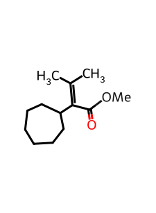 COC(=O)C(=C(C)C)C1CCCCCC1